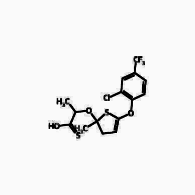 CC(OC1(C)CC=C(Oc2ccc(C(F)(F)F)cc2Cl)S1)C(O)=S